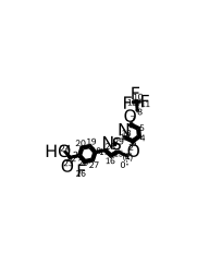 C[C@@H](Oc1ccc(OCC(F)(F)F)nc1)c1cc(-c2ccc(C(=O)O)c(F)c2)ns1